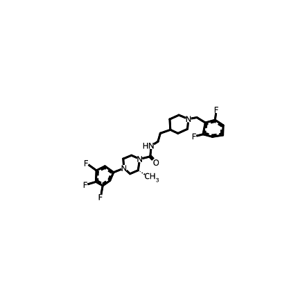 C[C@@H]1CN(c2cc(F)c(F)c(F)c2)CCN1C(=O)NCCC1CCN(Cc2c(F)cccc2F)CC1